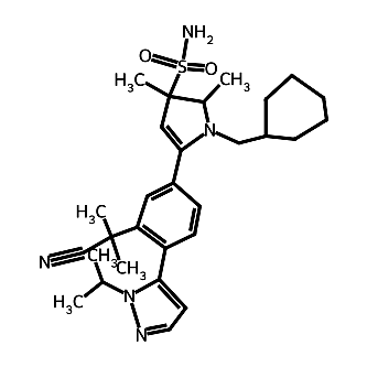 CC(C)n1nccc1-c1ccc(C2=CC(C)(S(N)(=O)=O)C(C)N2CC2CCCCC2)cc1C(C)(C)C#N